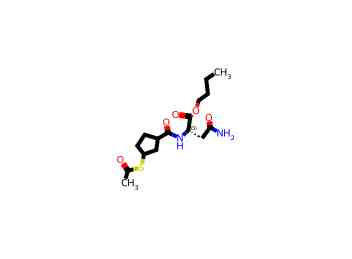 CCCCOC(=O)[C@H](CC(N)=O)NC(=O)C1CCC(SC(C)=O)C1